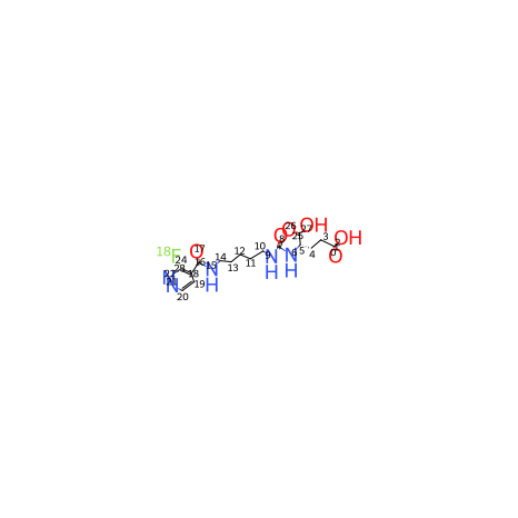 O=C(O)CC[C@H](NC(=O)NCCCCCNC(=O)c1ccnnc1[18F])C(=O)O